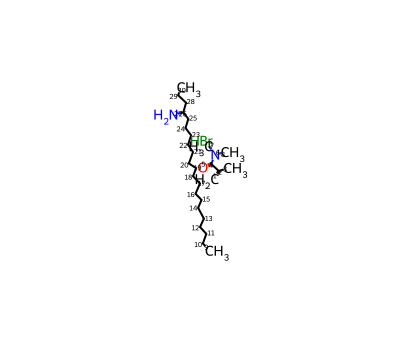 Br.C=C(C)C(=O)N(C)C.CCCCCCCCCCCCCCCCCC(N)CCC